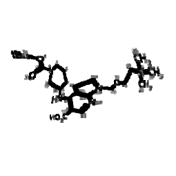 CC(C)(C)OC(=O)N1CCC[C@@H](Nc2c(C(=O)O)cnc3c2ccn3COCC[Si](C)(C)C)C1